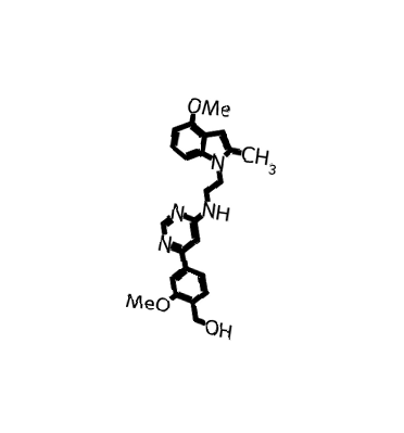 COc1cc(-c2cc(NCCn3c(C)cc4c(OC)cccc43)ncn2)ccc1CO